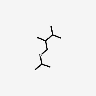 C[C](C)C(C)COC(C)C